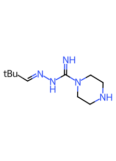 CC(C)(C)/C=N/NC(=N)N1CCNCC1